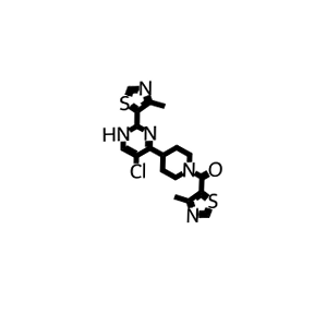 Cc1ncsc1C(=O)N1CCC(C2=NC(c3scnc3C)NC=C2Cl)CC1